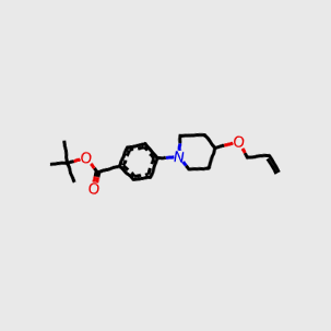 C=CCOC1CCN(c2ccc(C(=O)OC(C)(C)C)cc2)CC1